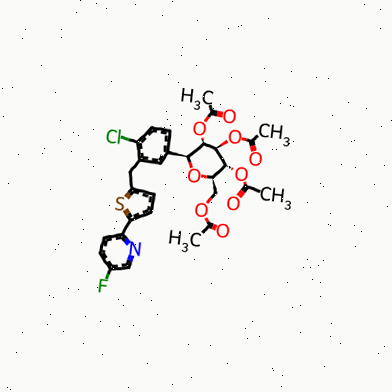 CC(=O)OC[C@H]1O[C@@H](c2ccc(Cl)c(Cc3ccc(-c4ccc(F)cn4)s3)c2)[C@H](OC(C)=O)[C@@H](OC(C)=O)[C@@H]1OC(C)=O